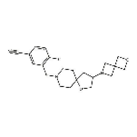 N#Cc1ccc(Cl)c(SN2CCC3(CC2)CC(N2CC4(COC4)C2)CO3)c1